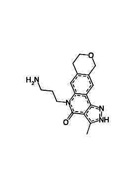 Cc1[nH]nc2c1c(=O)n(CCCN)c1cc3c(cc21)COCC3